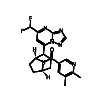 Cc1cc(C(=O)N2[C@H]3CC[C@H](c4cc(C(F)F)nc5ncnn45)[C@@H]2CC3)cnc1C